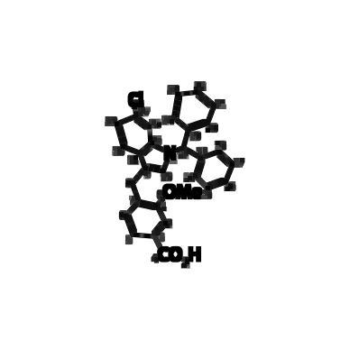 COc1cc(C(=O)O)ccc1Cc1cn(C(c2ccccc2)c2ccccc2)c2cc(Cl)ccc12